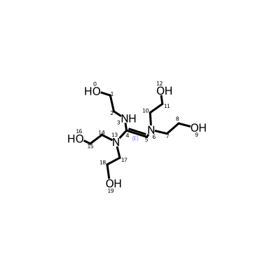 OCCN/C(=C\N(CCO)CCO)N(CCO)CCO